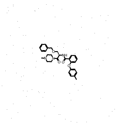 Cc1ccc(Oc2ccccc2C(=O)N[C@H](COCc2ccccc2)C(=O)N2CCN(C)CC2)cc1